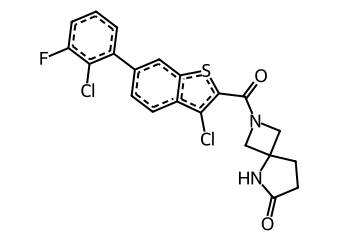 O=C1CCC2(CN(C(=O)c3sc4cc(-c5cccc(F)c5Cl)ccc4c3Cl)C2)N1